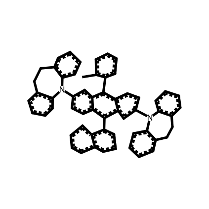 Cc1ccccc1-c1c2cc(N3c4ccccc4CCc4ccccc43)ccc2c(-c2cccc3ccccc23)c2cc(N3c4ccccc4CCc4ccccc43)ccc12